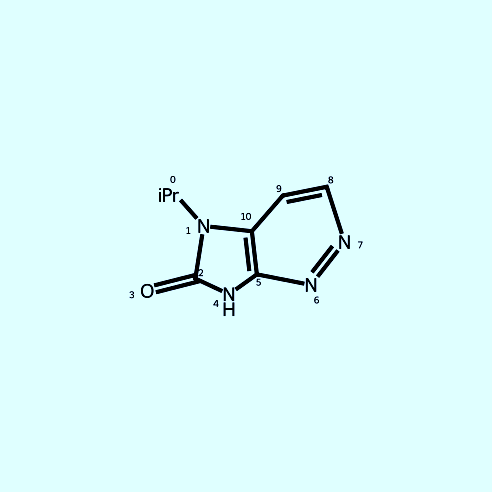 CC(C)n1c(=O)[nH]c2nnccc21